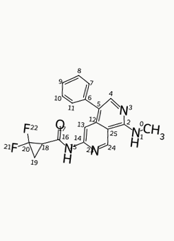 CNc1ncc(-c2ccccc2)c2cc(NC(=O)C3CC3(F)F)ncc12